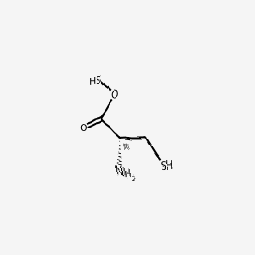 N[C@@H](CS)C(=O)OS